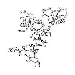 CC(C)(C)OC(=O)N[C@@H](Cc1ccc(F)cc1)C(=O)Nc1ncnn2c([C@]3(C#N)O[C@H](CO[Si](c4ccccc4)(c4ccccc4)C(C)(C)C)[C@@H](OC(=O)CC4(NC(=O)OC(C)(C)C)CCCCC4)[C@H]3O)ccc12